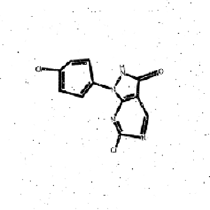 O=c1[nH]n(-c2ccc(Cl)cc2)c2nc(Cl)ncc12